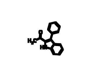 CC(=O)c1[nH]c2ccccc2c1-c1ccccc1